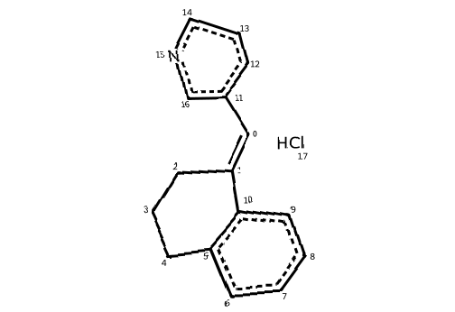 C(=C1CCCc2ccccc21)c1cccnc1.Cl